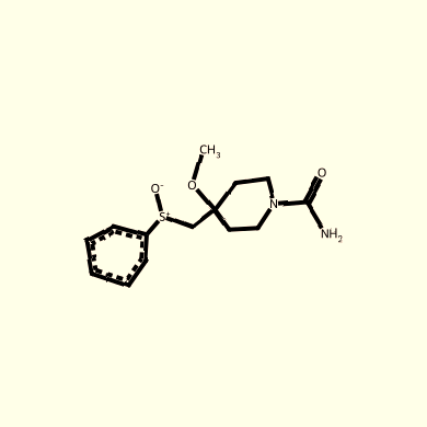 COC1(C[S+]([O-])c2ccccc2)CCN(C(N)=O)CC1